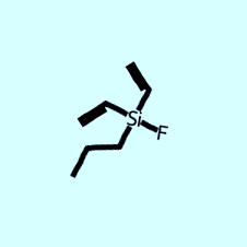 C=C[Si](F)(C=C)CCC